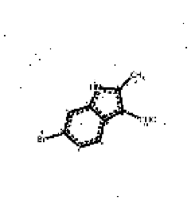 Cc1[nH]c2cc(Br)ccc2c1C=O